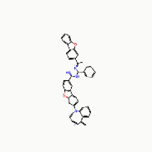 C=C1/C=C\C=C/N(c2ccc3c(c2)oc2ccc(C(=N)NC(/N=C(\C)c4ccc5c(c4)oc4ccccc45)C4=CC=CCC4)cc23)c2ccccc21